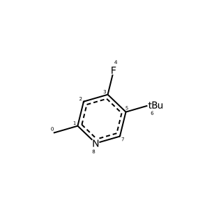 Cc1cc(F)c(C(C)(C)C)cn1